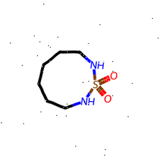 O=S1(=O)NCCCCCCN1